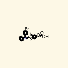 O=C(O)COc1ccc(SC/C=C(/c2ccccc2)c2ccc(Br)cc2)c(I)c1